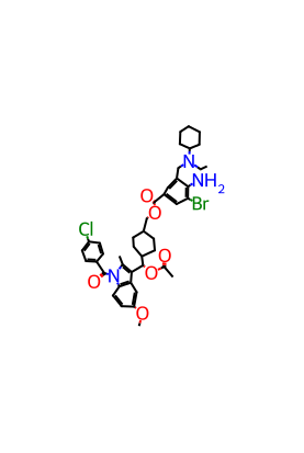 CCN(Cc1cc(C(=O)OCC2CCC(C(OC(C)=O)c3c(C)n(C(=O)c4ccc(Cl)cc4)c4ccc(OC)cc34)CC2)cc(Br)c1N)C1CCCCC1